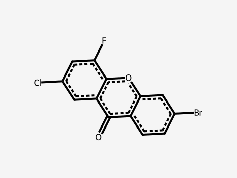 O=c1c2ccc(Br)cc2oc2c(F)cc(Cl)cc12